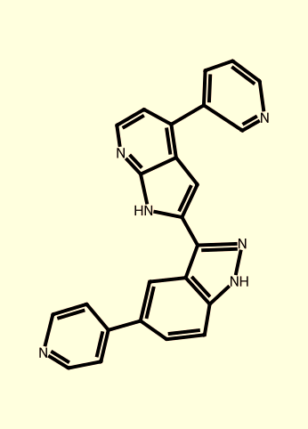 c1cncc(-c2ccnc3[nH]c(-c4n[nH]c5ccc(-c6ccncc6)cc45)cc23)c1